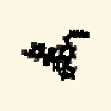 CNCc1ccc(-c2ccco2)c(NS(=O)(=O)c2cn(C)cn2)c1